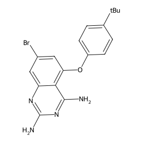 CC(C)(C)c1ccc(Oc2cc(Br)cc3nc(N)nc(N)c23)cc1